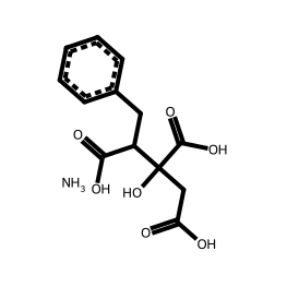 N.O=C(O)CC(O)(C(=O)O)C(Cc1ccccc1)C(=O)O